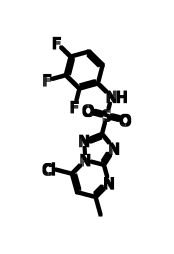 Cc1cc(Cl)n2nc(S(=O)(=O)Nc3ccc(F)c(F)c3F)nc2n1